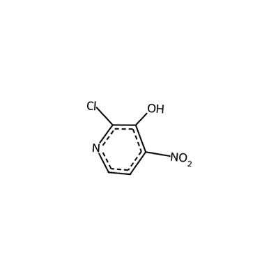 O=[N+]([O-])c1ccnc(Cl)c1O